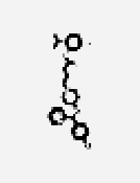 CC(C)[C@H]1CC[C@H](C)C[C@@H]1OC(=O)CCCN1CCC(O[C@@H](c2ccc(Cl)cc2)c2ccccn2)CC1